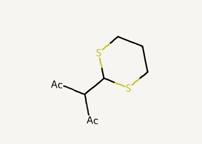 CC(=O)C(C(C)=O)C1SCCCS1